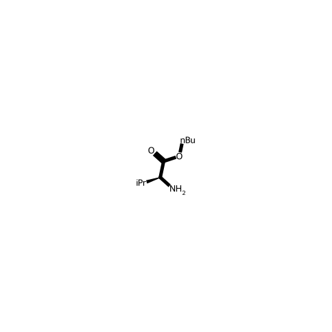 CCCCOC(=O)[C@@H](N)C(C)C